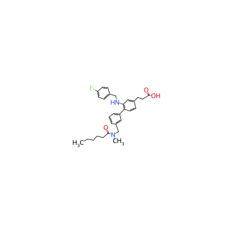 CCCCCC(=O)N(C)Cc1cccc(-c2ccc(CCC(=O)O)cc2NCc2ccc(F)cc2)c1